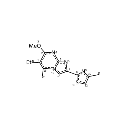 CCc1c(OC)nc2nc(-c3nc(C)cs3)cn2c1C